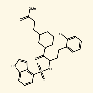 COC(=O)CCC1CCCN(C(=O)C(CCc2ccccc2Cl)NS(=O)(=O)c2cccc3[nH]ccc23)C1